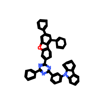 C1=CC(c2cc(-c3ccccc3)cc3oc4cc(-c5nc(-c6ccccc6)nc(-c6cccc(-n7c8ccccc8c8ccccc87)c6)n5)ccc4c23)=CCC1